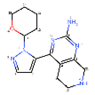 Nc1nc2c(c(-c3ccnn3C3CCCCO3)n1)CCNC2